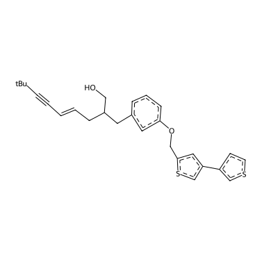 CC(C)(C)C#CC=CCC(CO)Cc1cccc(OCc2cc(-c3ccsc3)cs2)c1